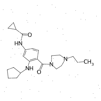 CCCN1CCN(C(=O)c2ccc(NC(=O)C3CC3)cc2NC2CCCC2)CC1